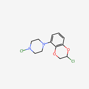 ClC1COc2c(cccc2N2CCN(Cl)CC2)O1